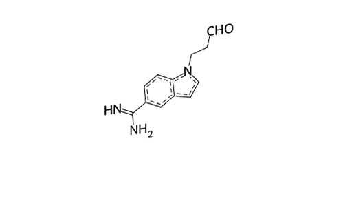 N=C(N)c1ccc2c(ccn2CCC=O)c1